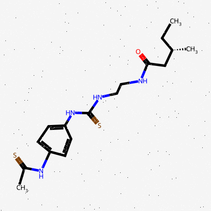 CC[C@H](C)CC(=O)NCCNC(=S)Nc1ccc(NC(C)=S)cc1